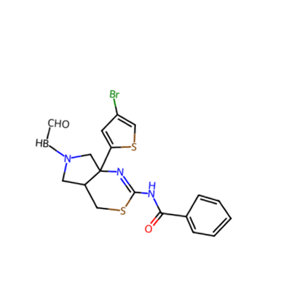 O=CBN1CC2CSC(NC(=O)c3ccccc3)=NC2(c2cc(Br)cs2)C1